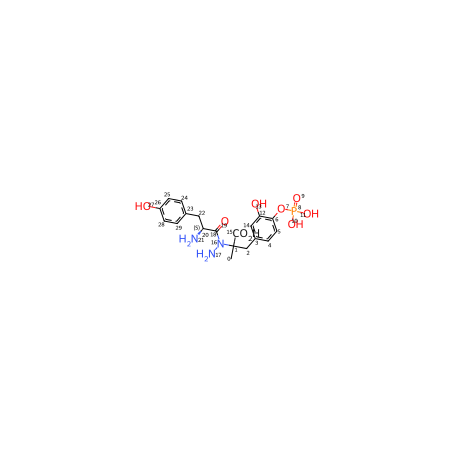 CC(Cc1ccc(OP(=O)(O)O)c(O)c1)(C(=O)O)N(N)C(=O)[C@@H](N)Cc1ccc(O)cc1